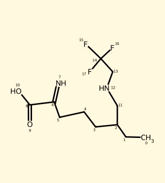 CCC(CCCC(=N)C(=O)O)CNCC(F)(F)F